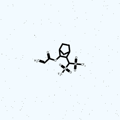 C=CC(=O)OC1C2CCC(C2)C1C(S(=O)(=O)C(F)(F)F)S(=O)(=O)C(F)(F)F